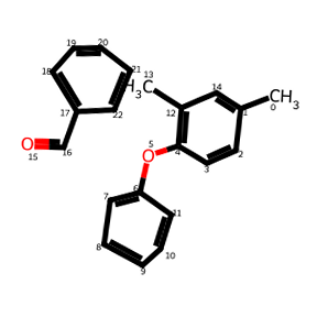 Cc1ccc(Oc2ccccc2)c(C)c1.O=Cc1ccccc1